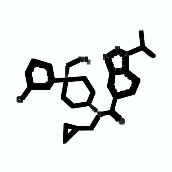 CC(C)n1nnc2cc(C(=O)N(CC3CC3)[C@H]3CC[C@](CN)(c4cccc(Cl)c4)CC3)ccc21